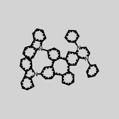 c1ccc(-n2ccn(-c3ccccc3)c3cc4c5ccc(-n6c7ccccc7c7ccccc76)cc5c5cc(-n6c7ccccc7c7ccccc76)ccc5c5ccccc5c4cc32)cc1